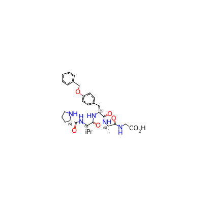 CC(C)[C@H](NC(=O)[C@@H]1CCCN1)C(=O)N[C@@H](Cc1ccc(OCc2ccccc2)cc1)C(=O)N[C@@H](C)C(=O)NCC(=O)O